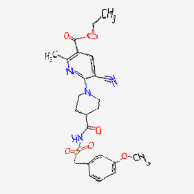 CCOC(=O)c1cc(C#N)c(N2CCC(C(=O)NS(=O)(=O)Cc3cccc(OC)c3)CC2)nc1C